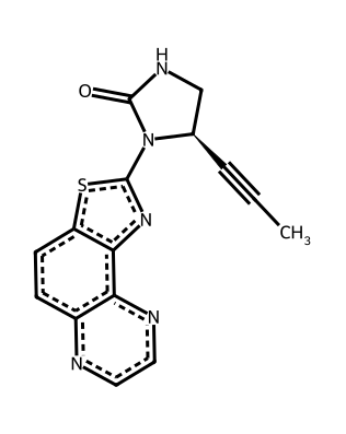 CC#C[C@@H]1CNC(=O)N1c1nc2c(ccc3nccnc32)s1